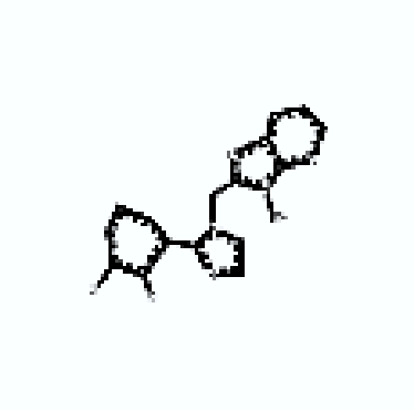 CCCn1c(Cn2ccnc2-c2cccc(Cl)c2Cl)nc2cccnc21